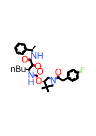 CCCC[C@H](NC(=O)O[C@@H]1CN(C(=O)Cc2ccc(F)cc2)CC1(C)C)C(=O)C(=O)N[C@H](C)c1ccccc1